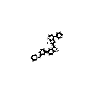 c1cncc(-c2ccnc3[nH]c(-c4n[nH]c5ccc(-c6cncc(CN7CCCCC7)c6)cc45)cc23)c1